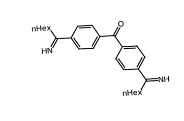 CCCCCCC(=N)c1ccc(C(=O)c2ccc(C(=N)CCCCCC)cc2)cc1